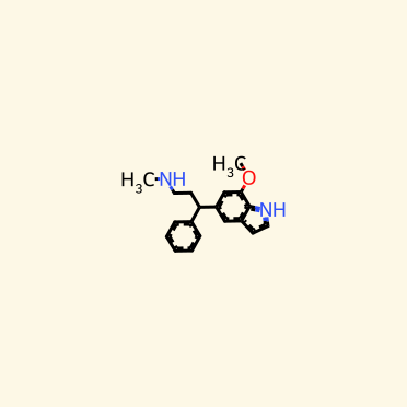 CNCCC(c1ccccc1)c1cc(OC)c2[nH]ccc2c1